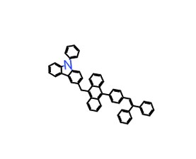 C(=C(c1ccccc1)c1ccccc1)c1ccc(-c2c3ccccc3c(Cc3ccc4c(c3)c3ccccc3n4-c3ccccc3)c3ccccc23)cc1